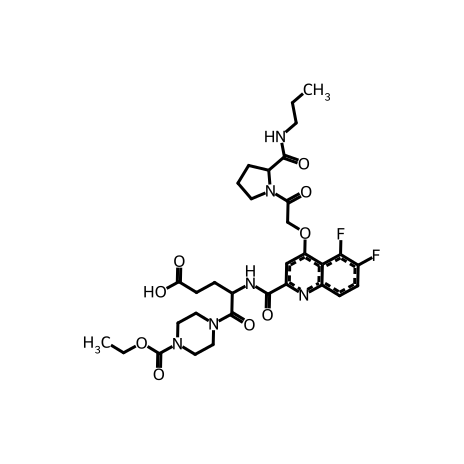 CCCNC(=O)C1CCCN1C(=O)COc1cc(C(=O)NC(CCC(=O)O)C(=O)N2CCN(C(=O)OCC)CC2)nc2ccc(F)c(F)c12